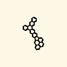 c1ccc2cc3c(cc2c1)c1ccccc1c1cc2cc4c(cc2cc13)-c1ccc2ccc3cccc5cc-4c1c2c35